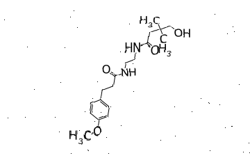 COc1ccc(CCC(=O)NCCNC(=O)CC(C)(C)CO)cc1